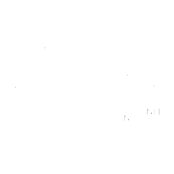 C(=C\c1ccco1)/c1cc[nH]n1